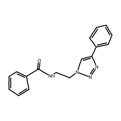 O=C(NCCn1cc(-c2ccccc2)nn1)c1ccccc1